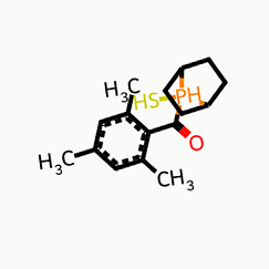 Cc1cc(C)c(C(=O)[PH]2(S)C3CCC2CC3)c(C)c1